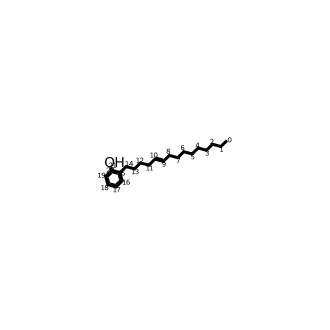 CCCCCCCCCC=CCCCCc1ccccc1O